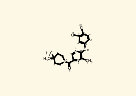 Cc1nc(C(=O)N2CCC(C)(C)CC2)cnc1Sc1ccc(Cl)c(Cl)c1